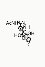 CC(=O)N/N=c1/nc[nH]c2c1cnn2[C@@H]1O[C@H]([C@H](O)c2ccc(Cl)cc2)[C@@H](O)[C@H]1O